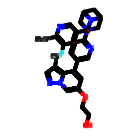 COc1ncc(CN2C3CC2CN(c2ccc(-c4cc(OCCO)cn5ncc(C#N)c45)cn2)C3)cc1F